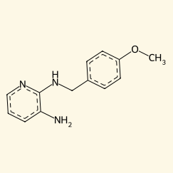 COc1ccc(CNc2ncccc2N)cc1